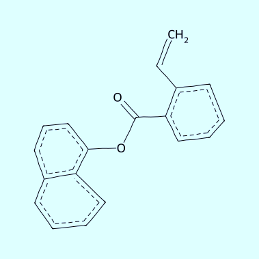 C=Cc1ccccc1C(=O)Oc1cccc2ccccc12